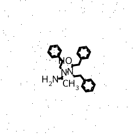 CC(N)N(CCc1ccccc1)N(CCc1ccccc1)C(O)Cc1ccccc1